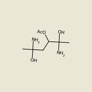 CC(=O)OC(CC(C)(N)O)C(C)(N)O